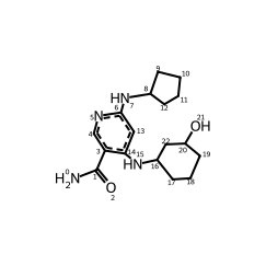 NC(=O)c1cnc(NC2CCCC2)cc1NC1CCCC(O)C1